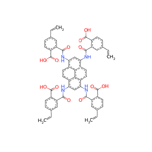 C=Cc1ccc(C(=O)O)c(C(=O)Nc2cc(NC(=O)c3cc(C=C)ccc3C(=O)O)c3ccc4c(NC(=O)c5cc(C=C)ccc5C(=O)O)cc(NC(=O)c5cc(C=C)ccc5C(=O)O)c5ccc2c3c54)c1